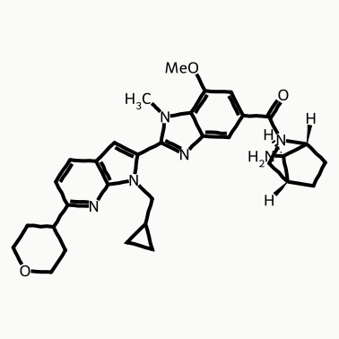 COc1cc(C(=O)N2C[C@H]3CC[C@@H]2[C@@H]3N)cc2nc(-c3cc4ccc(C5CCOCC5)nc4n3CC3CC3)n(C)c12